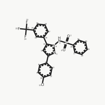 O=S(=O)(Nn1nc(-c2ccc(Cl)cc2)cc1-c1cccc(C(F)(F)F)c1)c1ccccc1